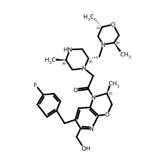 C[C@@H]1CN(CC(=O)N2c3cc(Cc4ccc(F)cc4)c(CO)nc3OC[C@@H]2C)[C@@H](CN2C[C@H](C)OC[C@H]2C)CN1